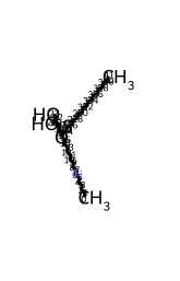 CCCCCC/C=C/CCCCCCCCOC(C[CH]C(O)CO)CSCCCCCCCCCCCCCCCC